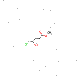 COC(=O)CCC(O)CCl